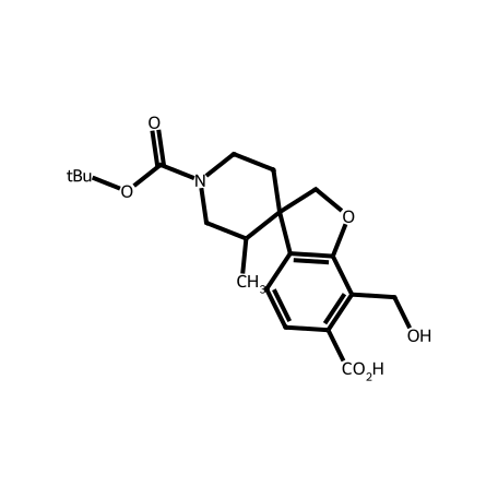 CC1CN(C(=O)OC(C)(C)C)CCC12COc1c2ccc(C(=O)O)c1CO